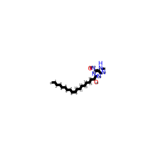 CCCCCCCC/C=C\CCCCCCCC(=O)c1nc(N=O)c2[nH]cnc2n1